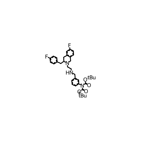 CC(C)(C)OC(=O)N(C(=O)OC(C)(C)C)c1cccc(CNCCN2Cc3ccc(F)cc3CC2Cc2ccc(F)cc2)c1